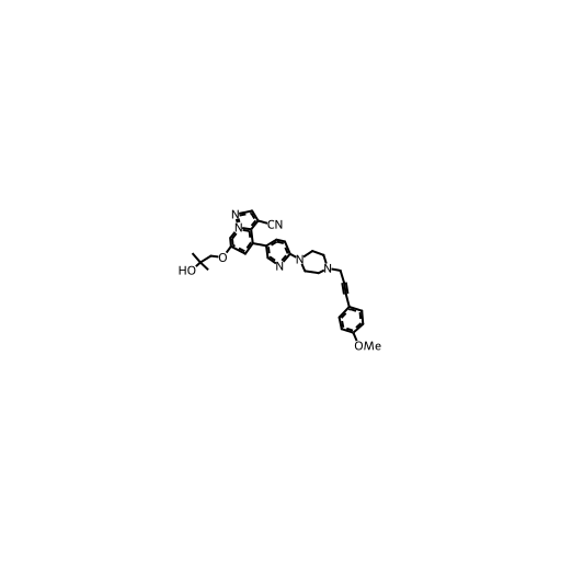 COc1ccc(C#CCN2CCN(c3ccc(-c4cc(OCC(C)(C)O)cn5ncc(C#N)c45)cn3)CC2)cc1